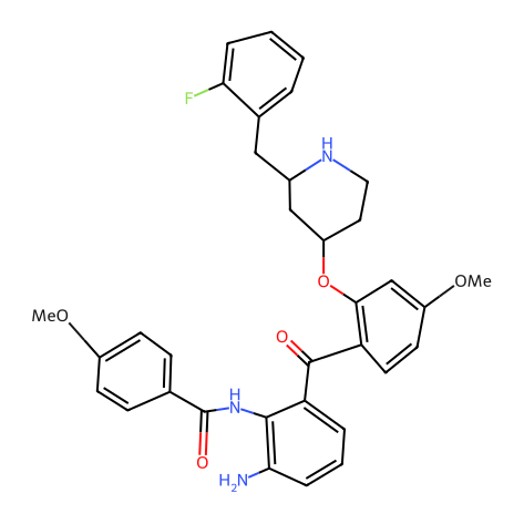 COc1ccc(C(=O)Nc2c(N)cccc2C(=O)c2ccc(OC)cc2OC2CCNC(Cc3ccccc3F)C2)cc1